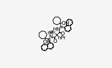 CCCC(CCC)(C(=O)N[C@@H](c1cccc2ccccc12)C1(O)CCCCCC1)C(=O)N[C@@H](c1cccc2ccccc12)C1(O)CCCCCC1